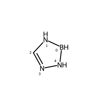 B1NC=NN1